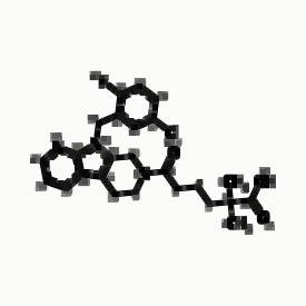 CC(C)(CCCC(=O)N1CCc2c(n(Cc3cc(Cl)ccc3F)c3ncccc23)C1)C(=O)O